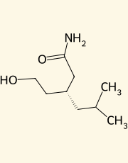 CC(C)C[C@H](CCO)CC(N)=O